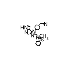 C[S@](=O)(=NCc1nc2cnc3[nH]ccc3c2n1[C@H]1CC[C@H](CC#N)CC1)c1ccccc1